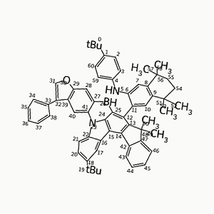 CC(C)(C)c1ccc(Nc2cc3c(cc2-c2c4c(c5c6cc(C(C)(C)C)ccc6n6c5c2Bc2cc5occ(-c7ccccc7)c5cc2-6)-c2ccccc2C4(C)C)C(C)(C)CCC3(C)C)cc1